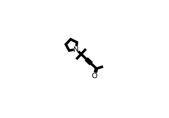 CC(=O)C#CC(C)(C)N1CCCC1